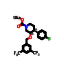 CC(C)(C)OC(=O)N1CC[C@@H](c2ccc(F)cc2)[C@@H](OCc2cc(C(F)(F)F)cc(C(F)(F)F)c2)C1